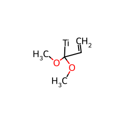 C=C[C]([Ti])(OC)OC